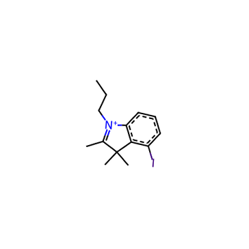 CCC[N+]1=C(C)C(C)(C)c2c(I)cccc21